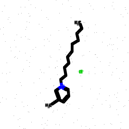 CCCCCCCCCCC[n+]1cccc(C)c1.[Cl-]